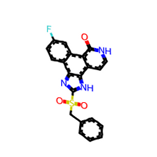 O=c1[nH]ccc2c3[nH]c(S(=O)(=O)Cc4ccccc4)nc3c3ccc(F)cc3c12